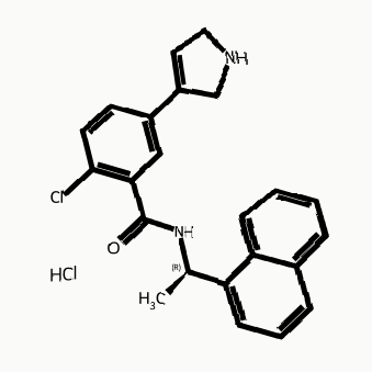 C[C@@H](NC(=O)c1cc(C2=CCNC2)ccc1Cl)c1cccc2ccccc12.Cl